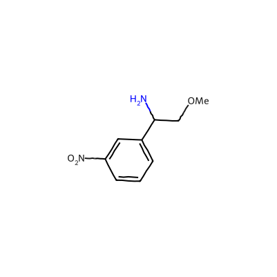 COCC(N)c1cccc([N+](=O)[O-])c1